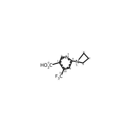 O=C(O)c1cnc(N2CCC2)cc1C(F)(F)F